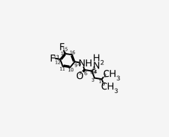 CC(C)C[C@H](N)C(=O)Nc1ccc(F)c(F)c1